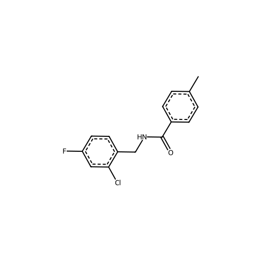 Cc1ccc(C(=O)NCc2ccc(F)cc2Cl)cc1